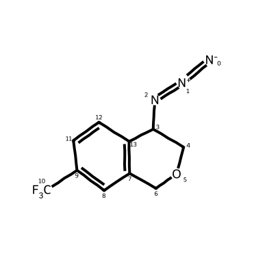 [N-]=[N+]=NC1COCc2cc(C(F)(F)F)ccc21